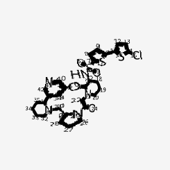 O=C1[C@@H](NS(=O)(=O)c2ccc(-c3ccc(Cl)s3)s2)CCCN1CC(=O)N1CCC[C@H]1CN1CCCCC1c1cccnc1